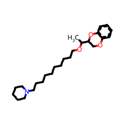 CC(OCCCCCCCCCCN1CCCCC1)C1COc2ccccc2O1